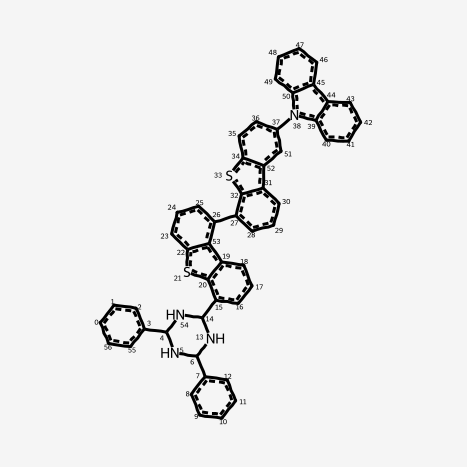 c1ccc(C2NC(c3ccccc3)NC(c3cccc4c3sc3cccc(-c5cccc6c5sc5ccc(-n7c8ccccc8c8ccccc87)cc56)c34)N2)cc1